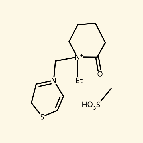 CC[N+]1(C[N+]2=CCSC=C2)CCCCC1=O.CS(=O)(=O)O